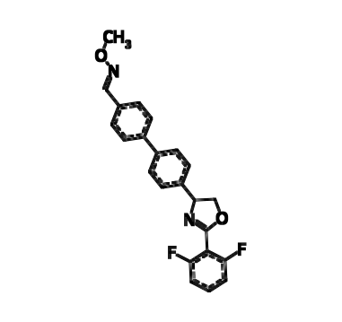 CON=Cc1ccc(-c2ccc(C3COC(c4c(F)cccc4F)=N3)cc2)cc1